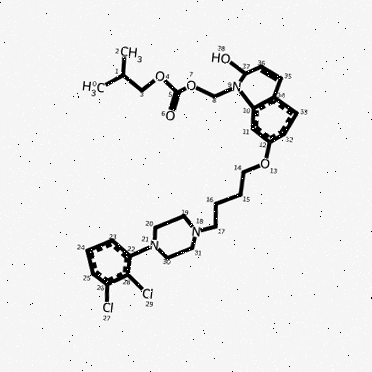 CC(C)COC(=O)OCN1c2cc(OCCCCN3CCN(c4cccc(Cl)c4Cl)CC3)ccc2C=CC1O